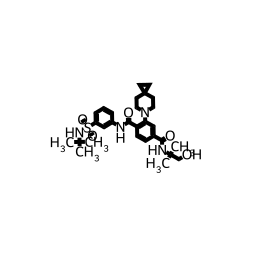 CC(C)(C)NS(=O)(=O)c1cccc(NC(=O)c2ccc(C(=O)NC(C)(C)CO)cc2N2CCC3(CC2)CC3)c1